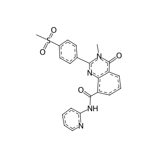 Cn1c(-c2ccc(S(C)(=O)=O)cc2)nc2c(C(=O)Nc3ccccn3)cccc2c1=O